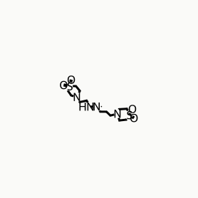 O=S1(=O)CCN(CCC[N]NCCN2CCS(=O)(=O)CC2)CC1